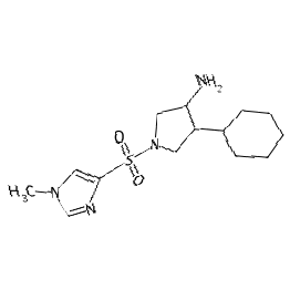 Cn1cnc(S(=O)(=O)N2CC(N)C(C3CCCCC3)C2)c1